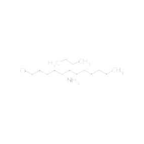 CCCC.CCCCCCCCCCCCCl.N